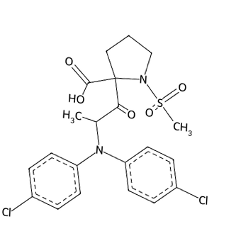 CC(C(=O)C1(C(=O)O)CCCN1S(C)(=O)=O)N(c1ccc(Cl)cc1)c1ccc(Cl)cc1